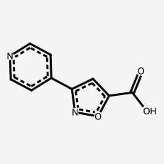 O=C(O)c1cc(-c2ccncc2)no1